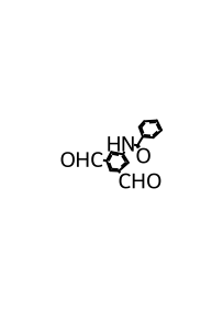 O=Cc1cc(C=O)cc(NC(=O)c2ccccc2)c1